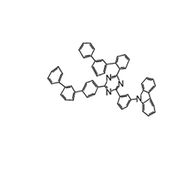 c1ccc(-c2cccc(-c3ccc(-c4nc(-c5cccc(-n6c7ccccc7c7ccccc76)c5)nc(-c5ccccc5-c5cccc(-c6ccccc6)c5)n4)cc3)c2)cc1